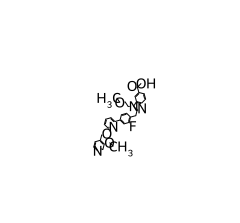 COCCn1c(Cc2ccc(-c3cccc(OCc4ccncc4OC)n3)cc2F)nc2ccc(C(=O)O)cc21